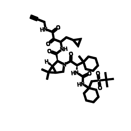 C#CCNC(=O)C(=O)C(CC1CC1)NC(=O)[C@@H]1[C@@H]2C(CN1C(=O)[C@@H](NC(=O)NC1(CS(=O)(=O)C(C)(C)C)CCCCC1)C1(C)CCCCC1)C2(C)C